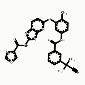 Cc1ccc(NC(=O)c2cccc(C(C)(C)C#N)c2)cc1Oc1ccc2nc(NC(=O)c3cocn3)sc2n1